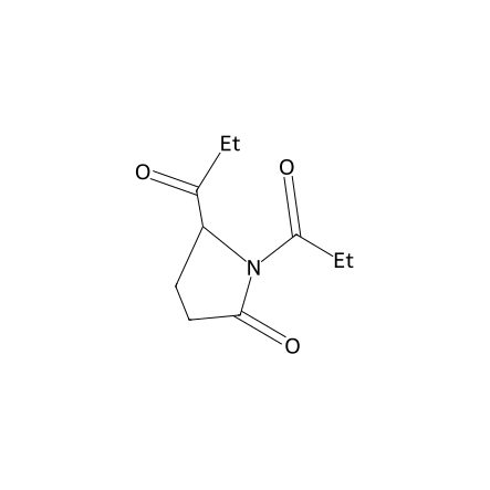 CCC(=O)C1CCC(=O)N1C(=O)CC